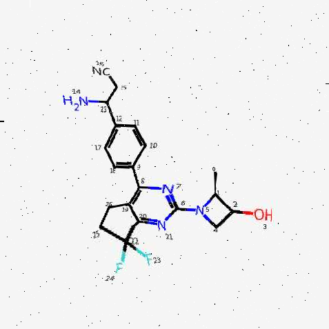 C[C@H]1C(O)CN1c1nc(-c2ccc(C(N)CC#N)cc2)c2c(n1)C(F)(F)CC2